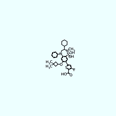 CN1C(C2CCCCC2)CN(c2ccccc2)c2cc(OC3CC(C)(C)C3)c(-c3cc(F)c(C(=O)O)s3)cc2S1(O)O